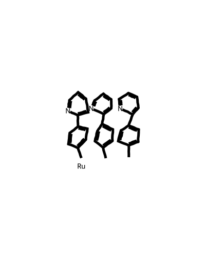 Cc1ccc(-c2ccccn2)cc1.Cc1ccc(-c2ccccn2)cc1.Cc1ccc(-c2ccccn2)cc1.[Ru]